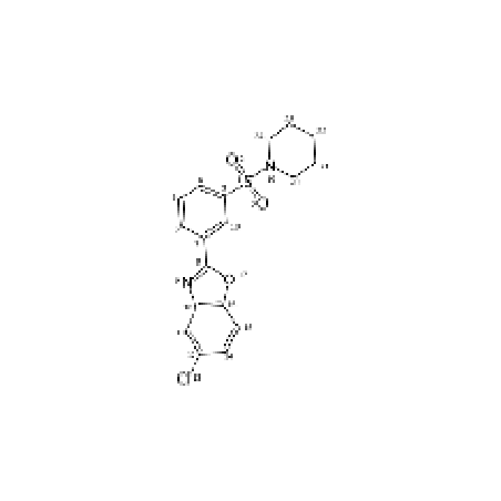 O=S(=O)(c1cccc(-c2nc3cc(Cl)ccc3o2)c1)N1CCCCC1